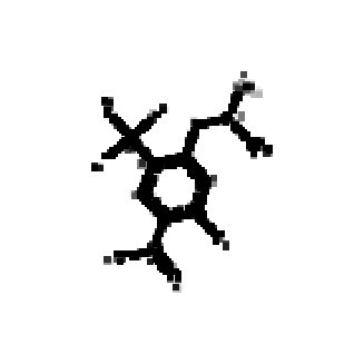 CN(C)Cc1cc(F)c([N+](=O)[O-])cc1C(F)(F)F